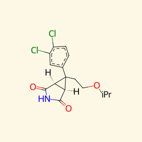 CC(C)OCCC1(c2ccc(Cl)c(Cl)c2)[C@@H]2C(=O)NC(=O)[C@@H]21